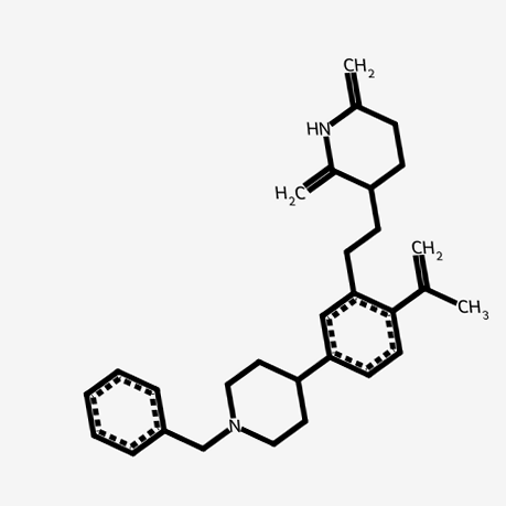 C=C1CCC(CCc2cc(C3CCN(Cc4ccccc4)CC3)ccc2C(=C)C)C(=C)N1